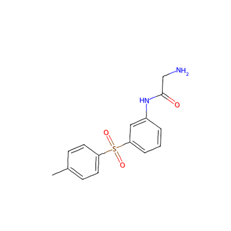 Cc1ccc(S(=O)(=O)c2cccc(NC(=O)CN)c2)cc1